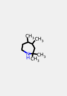 CC1CCNC(C)(C)CC1C